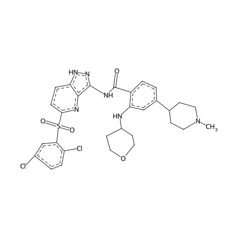 CN1CCC(c2ccc(C(=O)Nc3n[nH]c4ccc(S(=O)(=O)c5cc(Cl)ccc5Cl)nc34)c(NC3CCOCC3)c2)CC1